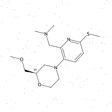 COC[C@H]1CN(c2ccc(SC)nc2CN(C)C)CCO1